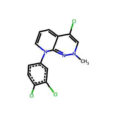 CN1C=C(Cl)C2=CC=CN(c3ccc(Cl)c(Cl)c3)C2=N1